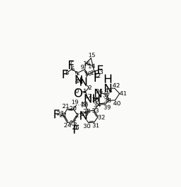 O=C(Cn1nc(C(F)F)c2c1C(F)(F)C1CC21)N[C@@H](Cc1cc(F)cc(F)c1)c1ncccc1-c1cnc2c(c1)CCCN2